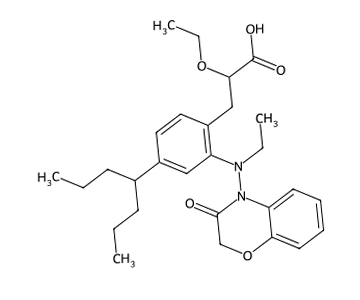 CCCC(CCC)c1ccc(CC(OCC)C(=O)O)c(N(CC)N2C(=O)COc3ccccc32)c1